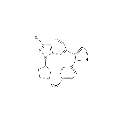 CCc1nn(C2CCCC2)c2cc(-c3ccnn3-c3ccc(OC)cc3)ccc12